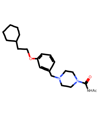 CC(=O)NC(=O)N1CCN(Cc2cccc(OCCC3CCCCC3)c2)CC1